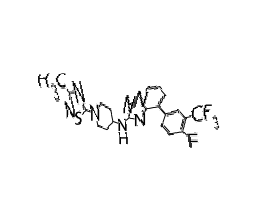 Cc1nsc(N2CCC(Nc3nc4c(-c5ccc(F)c(C(F)(F)F)c5)cccn4n3)CC2)n1